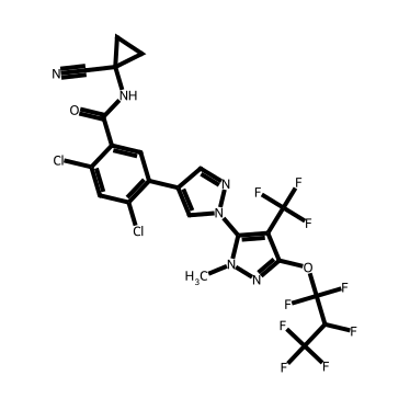 Cn1nc(OC(F)(F)C(F)C(F)(F)F)c(C(F)(F)F)c1-n1cc(-c2cc(C(=O)NC3(C#N)CC3)c(Cl)cc2Cl)cn1